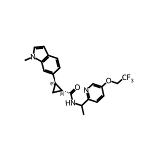 CC(NC(=O)[C@@H]1C[C@H]1c1ccc2ccn(C)c2c1)c1ccc(OCC(F)(F)F)cn1